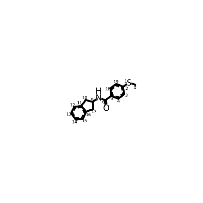 CSc1ccc(C(=O)NC2Cc3ccccc3C2)cc1